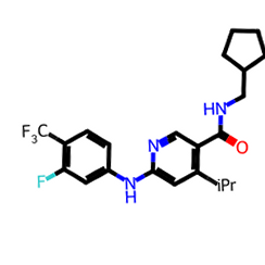 CC(C)c1cc(Nc2ccc(C(F)(F)F)c(F)c2)ncc1C(=O)NCC1CCCC1